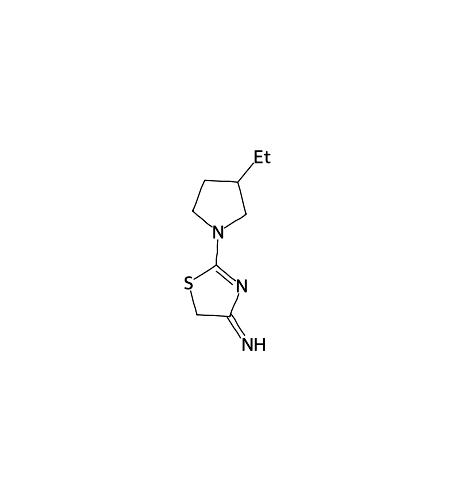 CCC1CCN(C2=NC(=N)CS2)C1